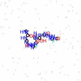 CC1CC(C2CN(c3nc(NNC(=O)c4ccc(Nc5cc(O)cc(N6NCCC6C)c5)cn4)ncc3F)CCO2)N(c2cc(O)cc(Nc3ccc(C(=O)NNc4ncc(F)c(N5CCOCC5)n4)nc3)c2)N1